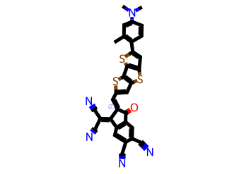 Cc1cc(N(C)C)ccc1-c1cc2sc3cc(/C=C4\C(=O)c5cc(C#N)c(C#N)cc5C4=C(C#N)C#N)sc3c2s1